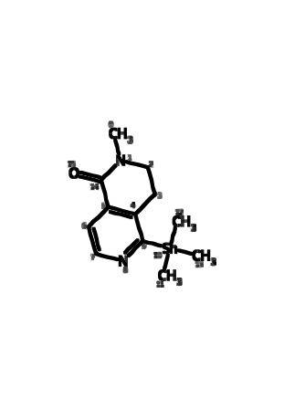 CN1CCc2c(ccn[c]2[Sn]([CH3])([CH3])[CH3])C1=O